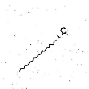 CCCCCCCCCCCCCCCCCCNC(=S)Nc1cccnc1